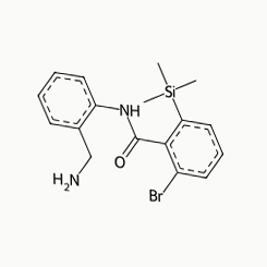 C[Si](C)(C)c1cccc(Br)c1C(=O)Nc1ccccc1CN